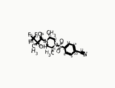 C[C@@H]1CN(S(=O)(=O)c2ccc(C#N)cc2)[C@H](C)CN1C(=O)C(C)(O)C(F)(F)F